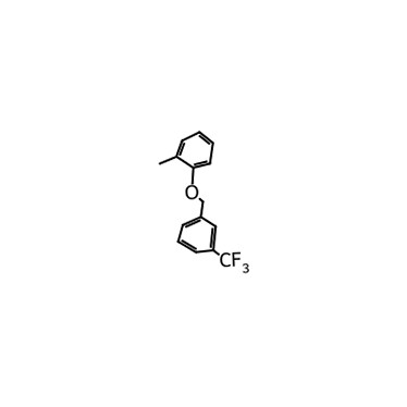 Cc1ccccc1OCc1cccc(C(F)(F)F)c1